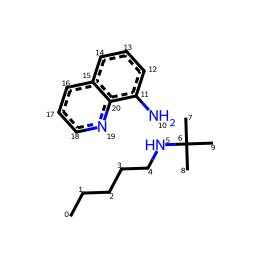 CCCCCNC(C)(C)C.Nc1cccc2cccnc12